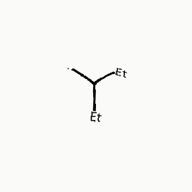 [CH2]CC([CH2])CC